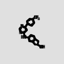 OC1Cc2ccc(Nc3cc(-c4ccc(C(F)(F)F)cc4)ncn3)cc2C1